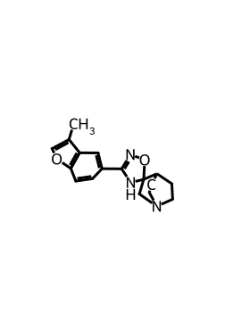 Cc1coc2ccc(C3=NOC4(CN5CCC4CC5)N3)cc12